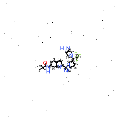 CC(C)(C)C(=O)Nc1ccc2ccc(-c3nnc4ccc([C@@H](N5CC[C@H](N)C5)C(F)(F)F)cn34)nc2c1